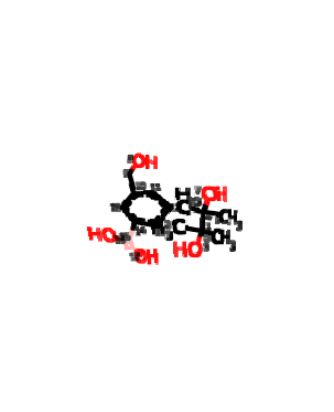 CC(C)(O)C(C)(C)O.OCc1cccc(B(O)O)c1